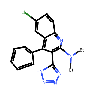 CCN(CC)c1nc2ccc(Cl)cc2c(-c2ccccc2)c1-c1nnn[nH]1